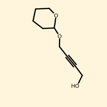 OCC#CCOC1CCCCO1